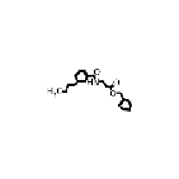 CCCCc1cccc(C(=O)NCCC(=O)OCc2ccccc2)c1